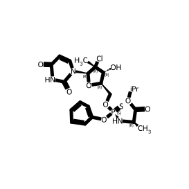 CC(C)OC(=O)[C@@H](C)N[P@](=S)(OC[C@H]1O[C@@H](n2ccc(=O)[nH]c2=O)[C@](C)(Cl)[C@@H]1O)Oc1ccccc1